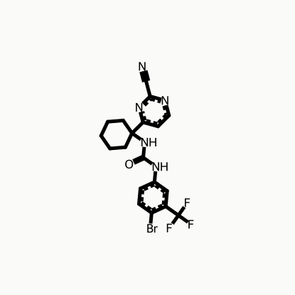 N#Cc1nccc(C2(NC(=O)Nc3ccc(Br)c(C(F)(F)F)c3)CCCCC2)n1